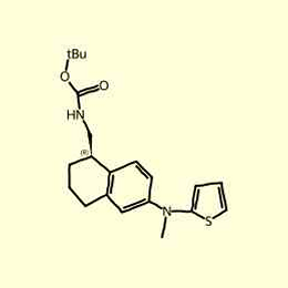 CN(c1ccc2c(c1)CCC[C@H]2CNC(=O)OC(C)(C)C)c1cccs1